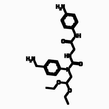 CCOC(CN(C(=O)NCC(=O)Nc1ccc(N)cc1)c1ccc(CN)cc1)OCC